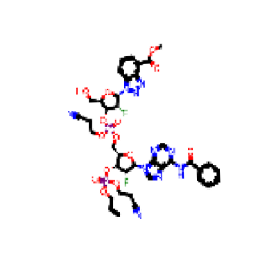 C=CCOP(=O)(OCCC#N)O[C@H]1[C@@H](F)[C@H](n2cnc3c(NC(=O)c4ccccc4)ncnc32)O[C@@H]1COP(=O)(OCCC#N)O[C@H]1[C@@H](F)[C@H](n2nnc3c(C(=O)OC)cccc32)O[C@@H]1CO